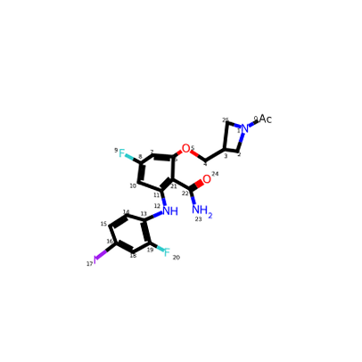 CC(=O)N1CC(COc2cc(F)cc(Nc3ccc(I)cc3F)c2C(N)=O)C1